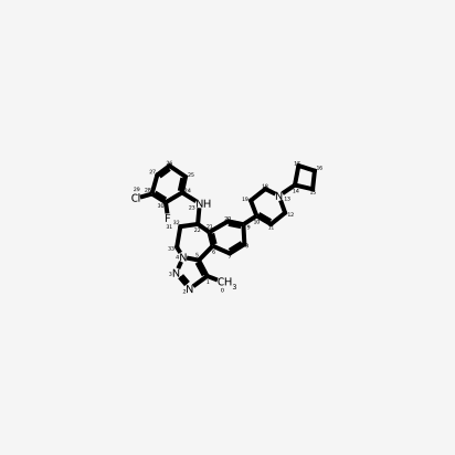 Cc1nnn2c1-c1ccc(C3=CCN(C4CCC4)CC3)cc1C(Nc1cccc(Cl)c1F)CC2